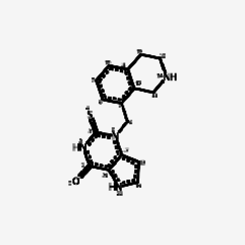 O=c1[nH]c(=S)n(Cc2cccc3c2CNCC3)c2cc[nH]c12